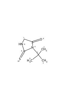 CC(C)(C)N1C(=O)CNC1=S